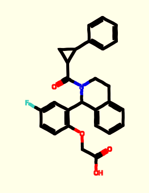 O=C(O)COc1ccc(F)cc1C1c2ccccc2CCN1C(=O)C1CC1c1ccccc1